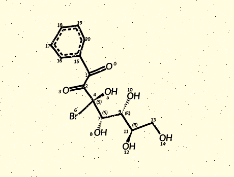 O=C(C(=O)[C@@](O)(Br)[C@@H](O)[C@H](O)[C@H](O)CO)c1ccccc1